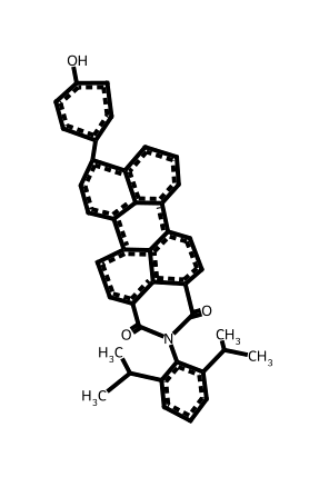 CC(C)c1cccc(C(C)C)c1N1C(=O)c2ccc3c4cccc5c(-c6ccc(O)cc6)ccc(c6ccc(c2c36)C1=O)c54